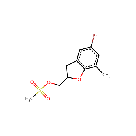 Cc1cc(Br)cc2c1OC(COS(C)(=O)=O)C2